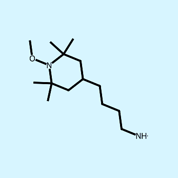 CON1C(C)(C)CC(CCCC[NH])CC1(C)C